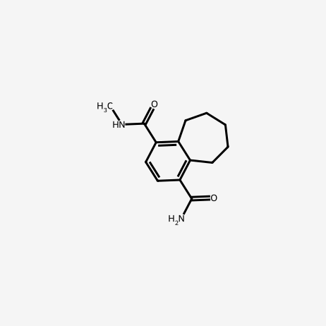 CNC(=O)c1ccc(C(N)=O)c2c1CCCCC2